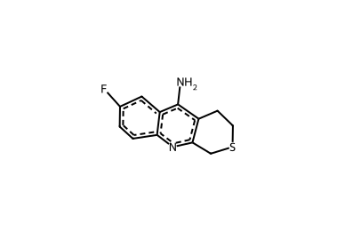 Nc1c2c(nc3ccc(F)cc13)CSCC2